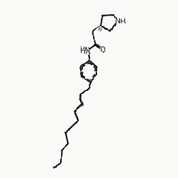 CCCCCCCCCCc1ccc(NC(=O)C[C@H]2CCNC2)cc1